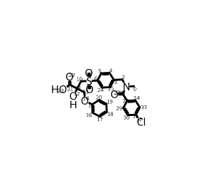 CN(Cc1ccc(S(=O)(=O)CC(O)(COc2ccccc2)C(=O)O)cc1)C(=O)c1ccc(Cl)cc1